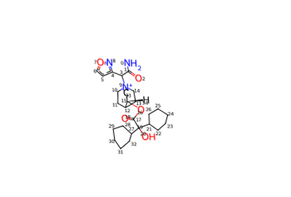 NC(=O)C(c1ccon1)[N+]12CCC(CC1)[C@@H](OC(=O)C(O)(C1CCCCC1)C1CCCCC1)C2